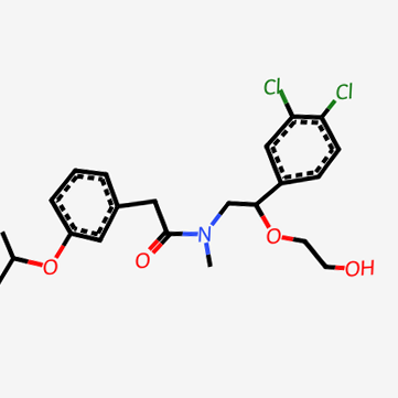 CC(C)Oc1cccc(CC(=O)N(C)CC(OCCO)c2ccc(Cl)c(Cl)c2)c1